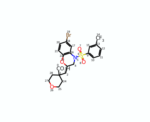 O=C(O)C1(CC2CN(S(=O)(=O)c3cccc(C(F)(F)F)c3)c3cc(Br)ccc3O2)CCOCC1